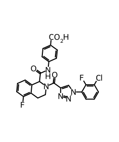 O=C(O)c1ccc(NC(=O)C2c3cccc(F)c3CCN2C(=O)c2cn(-c3cccc(Cl)c3F)nn2)cc1